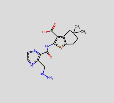 CC1(C)CCc2sc(NC(=O)c3nccnc3CNN)c(C(=O)O)c2C1